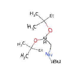 CCC(C)NC[SiH](OC(C)(C)CC)OC(C)(C)CC